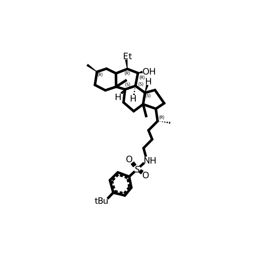 CC[C@@H]1C2C[C@H](C)CCC2(C)[C@H]2CCC3(C)C([C@H](C)CCCNS(=O)(=O)c4ccc(C(C)(C)C)cc4)CC[C@H]3[C@@H]2[C@@H]1O